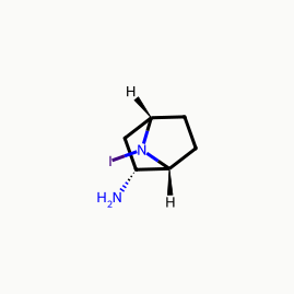 N[C@@H]1C[C@@H]2CC[C@H]1N2I